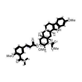 COC(=O)[C@H]1[C@H]2C[C@@H]3c4[nH]c5cc(OC)ccc5c4CCN3C[C@H]2C[C@@H](OC(=O)/C=C/c2ccc(OC)c(C(=O)N(C)C)c2)[C@@H]1OC